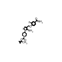 CC1(OC(=O)N2CCC(n3ncc(COc4ccc(C(N)=O)cc4F)c3N)CC2)CC1